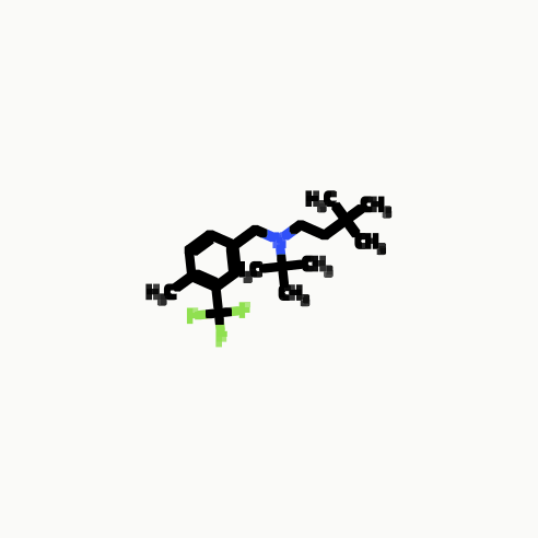 Cc1ccc(CN(CCC(C)(C)C)C(C)(C)C)cc1C(F)(F)F